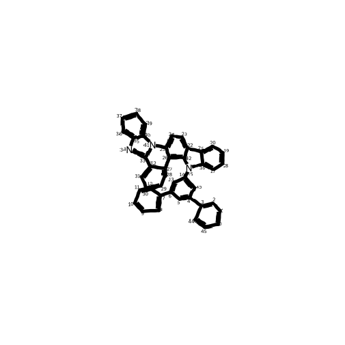 c1ccc(-c2cc(-c3ccccc3)cc(-n3c4ccccc4c4ccc5c(c6ccccc6c6nc7ccccc7n56)c43)c2)cc1